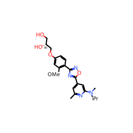 COc1cc(OC[C@H](O)CO)ccc1-c1noc(-c2cc(C)nc(N(C)C(C)C)c2)n1